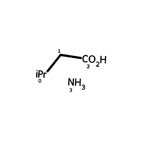 CC(C)CC(=O)O.N